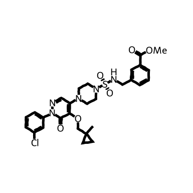 COC(=O)c1cccc(CNS(=O)(=O)N2CCN(c3cnn(-c4cccc(Cl)c4)c(=O)c3OCC3(C)CC3)CC2)c1